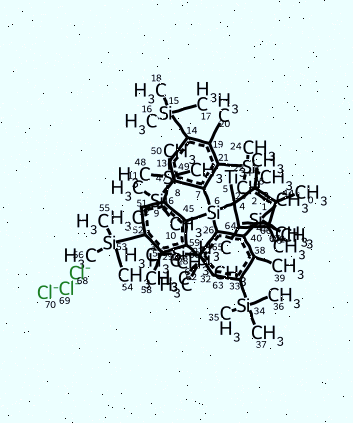 CC1=C(C)[C]([Ti+3])([Si](c2c([Si](C)(C)C)cc([Si](C)(C)C)c(C)c2[Si](C)(C)C)(c2c([Si](C)(C)C)cc([Si](C)(C)C)c(C)c2[Si](C)(C)C)c2c([Si](C)(C)C)cc([Si](C)(C)C)c(C)c2[Si](C)(C)C)C(C)=C1C.[Cl-].[Cl-].[Cl-]